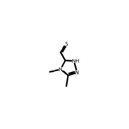 CC1=NNC(C=S)N1C